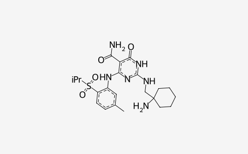 Cc1ccc(S(=O)(=O)C(C)C)c(Nc2nc(NCC3(N)CCCCC3)[nH]c(=O)c2C(N)=O)c1